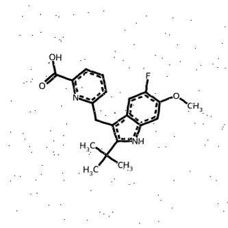 COc1cc2[nH]c(C(C)(C)C)c(Cc3cccc(C(=O)O)n3)c2cc1F